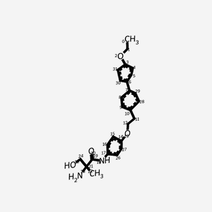 CCOc1ccc(-c2ccc(CCOc3ccc(NC(=O)C(C)(N)CO)cc3)cc2)cc1